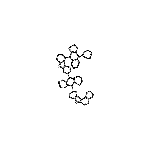 c1ccc(-c2c3ccccc3c(-c3cccc4sc5cc(-c6c7ccccc7c(-c7ccc8oc9ccc%10ccccc%10c9c8c7)c7ccccc67)ccc5c34)c3ccccc23)cc1